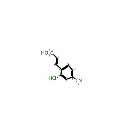 Cl.N#Cc1ccc(C=CC(=O)O)cc1